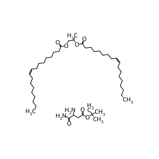 CC(C)(C)OC(=O)CC(N)C(N)=O.CCCCCCCC/C=C\CCCCCCCC(=O)OCC(C)OC(=O)CCCCCCC/C=C\CCCCCCCC